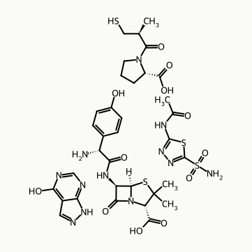 CC(=O)Nc1nnc(S(N)(=O)=O)s1.CC1(C)S[C@@H]2[C@H](NC(=O)[C@H](N)c3ccc(O)cc3)C(=O)N2[C@H]1C(=O)O.C[C@H](CS)C(=O)N1CCC[C@H]1C(=O)O.Oc1ncnc2[nH]ncc12